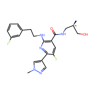 C[C@@H](CO)CNC(=O)c1cc(F)c(-c2cnn(C)c2)nc1NCCc1cccc(F)c1